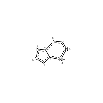 c1n[nH]c2cnnc-2n1